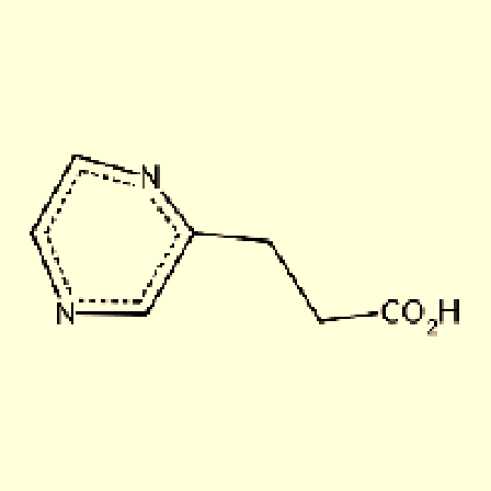 O=C(O)CCc1cnccn1